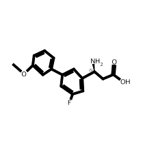 COc1cccc(-c2cc(F)cc([C@@H](N)CC(=O)O)c2)c1